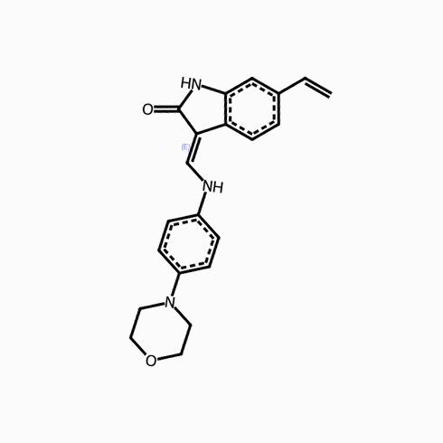 C=Cc1ccc2c(c1)NC(=O)/C2=C/Nc1ccc(N2CCOCC2)cc1